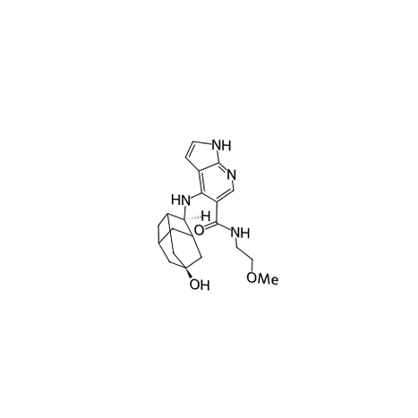 COCCNC(=O)c1cnc2[nH]ccc2c1N[C@H]1C2CC3CC1C[C@@](O)(C3)C2